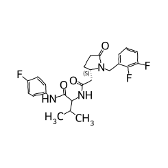 CC(C)C(NC(=O)C[C@@H]1CCC(=O)N1Cc1cccc(F)c1F)C(=O)Nc1ccc(F)cc1